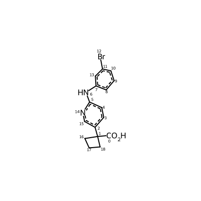 O=C(O)C1(c2ccc(Nc3cccc(Br)c3)nc2)CCC1